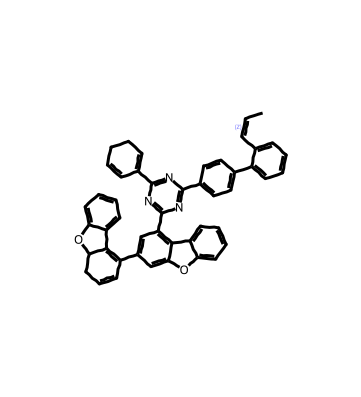 C/C=C\c1ccccc1-c1ccc(-c2nc(C3=CCCC=C3)nc(-c3cc(C4=C5c6ccccc6OC5CC=C4)cc4oc5ccccc5c34)n2)cc1